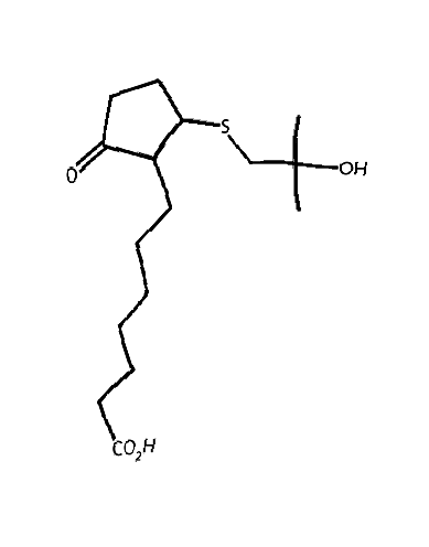 CC(C)(O)CSC1CCC(=O)C1CCCCCCC(=O)O